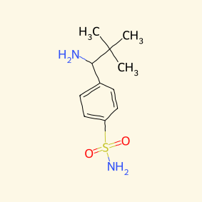 CC(C)(C)C(N)c1ccc(S(N)(=O)=O)cc1